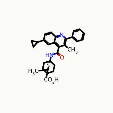 Cc1c(-c2ccccc2)nc2ccc(C3CC3)cc2c1C(=O)NC12CCC(C(=O)O)(CC1)C(C)C2